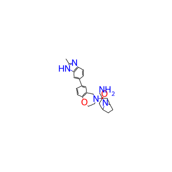 Cc1nc2ccc(-c3ccc4c(c3)CN(C(=O)N3C5CCC3CC(CN)C5)CCO4)cc2[nH]1